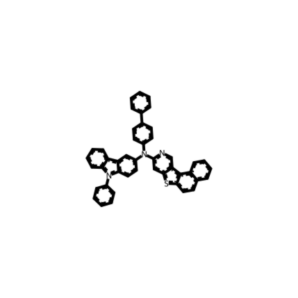 c1ccc(-c2ccc(N(c3ccc4c(c3)c3ccccc3n4-c3ccccc3)c3cc4sc5ccc6ccccc6c5c4cn3)cc2)cc1